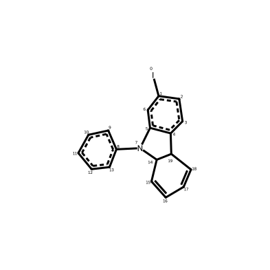 Ic1ccc2c(c1)N(c1ccccc1)C1C=CC=CC21